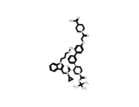 COCCCn1cc(CN(C(=O)[C@H]2CN(C(=O)OC(C)(C)C)CC[C@@H]2c2cccc(-c3ccc(OCC(=O)N4CCC(C(=O)O)CC4)cc3)c2)C2CC2)c2ccccc21